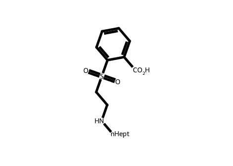 CCCCCCCNCCS(=O)(=O)c1ccccc1C(=O)O